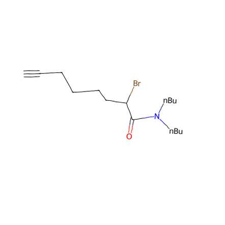 C#CCCCCC(Br)C(=O)N(CCCC)CCCC